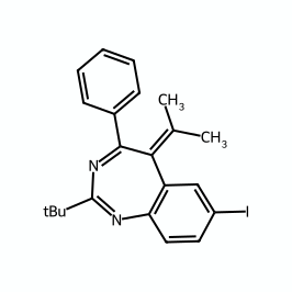 CC(C)=C1C(c2ccccc2)=NC(C(C)(C)C)=Nc2ccc(I)cc21